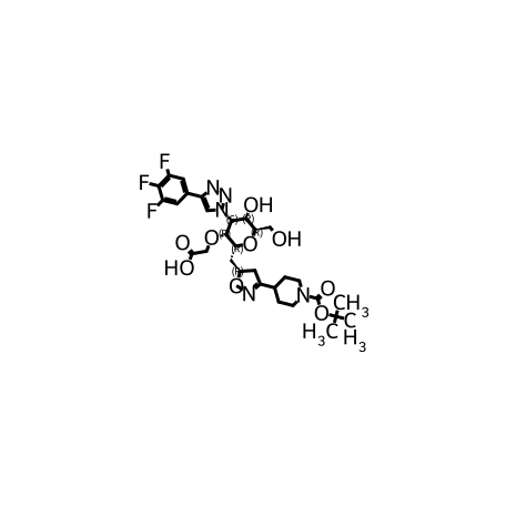 CC(C)(C)OC(=O)N1CCC(C2=NO[C@@H](C[C@H]3O[C@H](CO)[C@H](O)[C@H](n4cc(-c5cc(F)c(F)c(F)c5)nn4)[C@H]3OCC(=O)O)C2)CC1